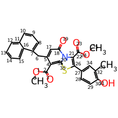 COC(=O)c1c(Cc2cccc3ccccc23)cc(=O)n2c(C(=O)OC)c(-c3ccc(O)c(C)c3)sc12